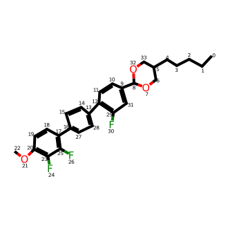 CCCCCC1COC(c2ccc(-c3ccc(-c4ccc(OC)c(F)c4F)cc3)c(F)c2)OC1